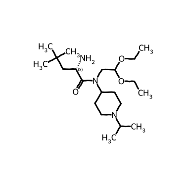 CCOC(CN(C(=O)[C@@H](N)CC(C)(C)C)C1CCN(C(C)C)CC1)OCC